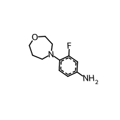 Nc1ccc(N2CCCOCC2)c(F)c1